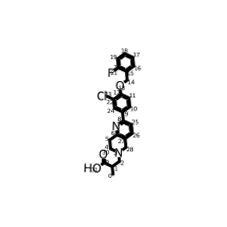 CC(CN1CCc2nc(-c3ccc(OCc4ccccc4F)c(Cl)c3)ccc2C1)C(=O)O